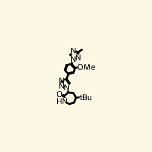 COc1cc(-c2cn(C3CC(C(C)(C)C)CCNC3=O)nn2)ccc1-n1cnc(C)n1